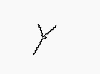 CCCCCCCCCCCC[n+]1ccn(CCCCCCCCC)c1CCCCCCCCC